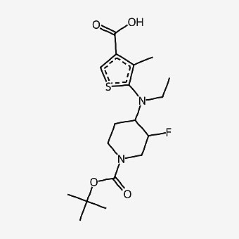 CCN(c1scc(C(=O)O)c1C)C1CCN(C(=O)OC(C)(C)C)CC1F